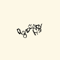 Nc1cnc2ccsc2c1NCC1CCN(C(=O)OCc2ccccc2)CC1